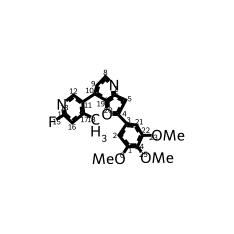 COc1cc(-c2cc3nccc(-c4cnc(F)cc4C)c3o2)cc(OC)c1OC